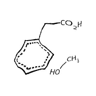 CO.O=C(O)Cc1ccccc1